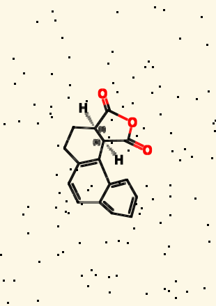 O=C1OC(=O)[C@H]2c3c(ccc4ccccc34)CC[C@@H]12